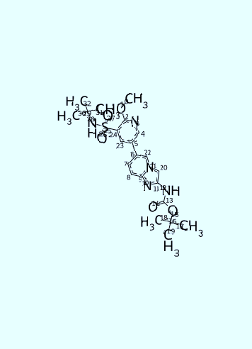 COc1ncc(-c2ccc3nc(NC(=O)OC(C)(C)C)cn3c2)cc1S(=O)(=O)NC(C)(C)C